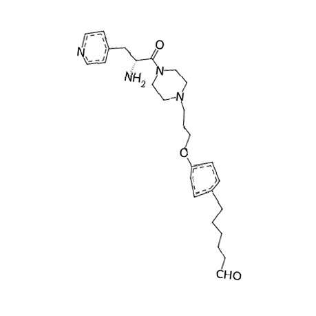 N[C@H](Cc1ccncc1)C(=O)N1CCN(CCCOc2ccc(CCCCCC=O)cc2)CC1